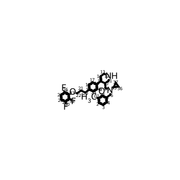 Cc1cccc(CN(C(=O)C2CNCC=C2c2ccc(CCCOc3c(F)ccc(F)c3F)cc2)C2CC2)c1